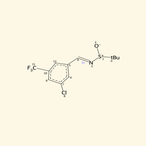 CC(C)(C)[S+]([O-])/N=C/c1cc(Cl)cc(C(F)(F)F)c1